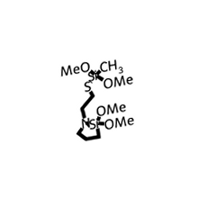 CO[Si](C)(OC)SCCN1CCC[Si]1(OC)OC